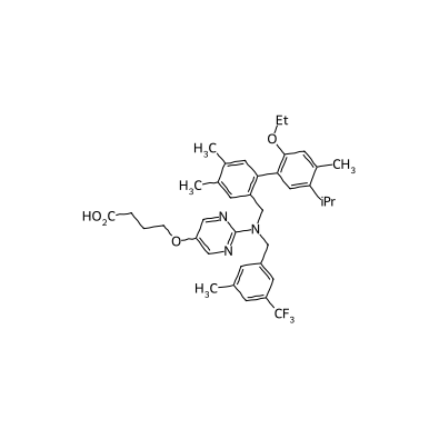 CCOc1cc(C)c(C(C)C)cc1-c1cc(C)c(C)cc1CN(Cc1cc(C)cc(C(F)(F)F)c1)c1ncc(OCCCC(=O)O)cn1